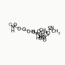 Cc1ncsc1-c1ccc(CNC(=O)[C@@H]2CCCN2C(=O)C(NCCOCCOCCOCCOCCC(=O)NC2CCCC2)C(C)(C)C)cc1